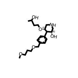 COCCCOCc1ccc(C2[C@@H](O)CNC[C@H]2OCCC(C)O)cc1